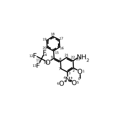 COC1=C([N+](=O)[O-])CC(=C(OC(F)(F)F)c2ccccc2)C=C1N